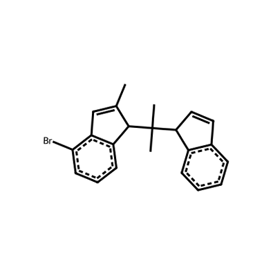 CC1=Cc2c(Br)cccc2C1C(C)(C)C1C=Cc2ccccc21